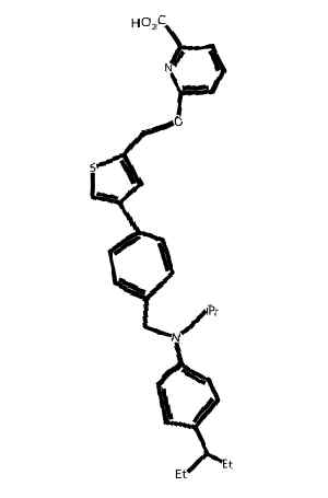 CCC(CC)c1ccc(N(Cc2ccc(-c3csc(COc4cccc(C(=O)O)n4)c3)cc2)C(C)C)cc1